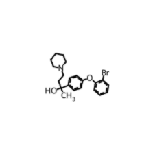 CC(O)(CCN1CCCCC1)c1ccc(Oc2ccccc2Br)cc1